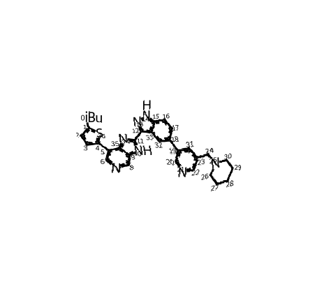 CCC(C)c1ccc(-c2cncc3[nH]c(-c4n[nH]c5ccc(-c6cncc(CN7CCCCC7)c6)cc45)nc23)s1